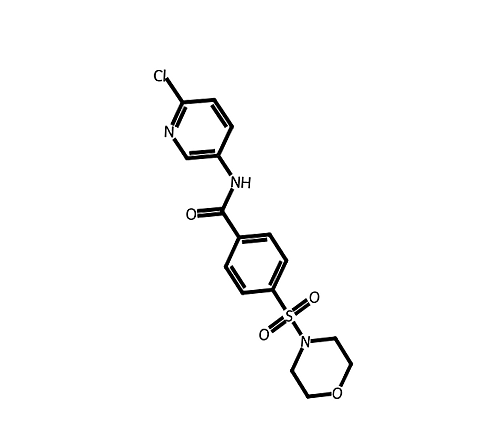 O=C(Nc1ccc(Cl)nc1)c1ccc(S(=O)(=O)N2CCOCC2)cc1